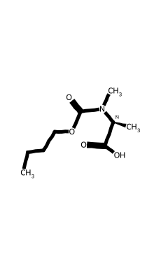 CCCCOC(=O)N(C)[C@@H](C)C(=O)O